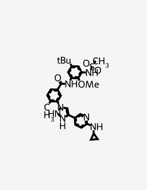 COc1c(NC(=O)c2ccc(C)c(N3C=C(c4ccc(NC5CC5)nc4)NN3)c2)cc(C(C)(C)C)cc1NS(C)(=O)=O